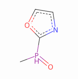 C[PH](=O)c1ncco1